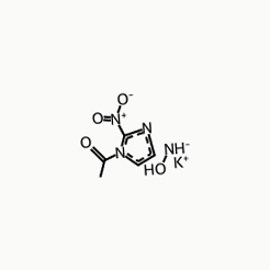 CC(=O)n1ccnc1[N+](=O)[O-].[K+].[NH-]O